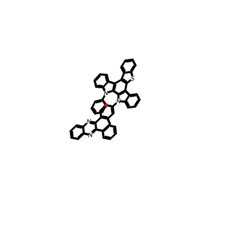 Cc1cc(-n2c3ccccc3c3c4sc5ccccc5c4c4c5ccccc5n(-c5ccccc5)c4c32)ccc1-c1nc2ccccc2nc1-c1ccccc1